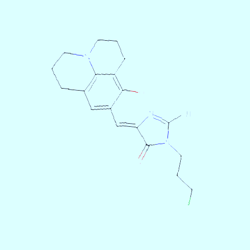 CC1=N/C(=C\c2cc3c4c(c2O)CCCN4CCC3)C(=O)N1CCCCl